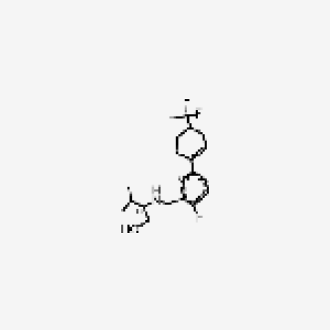 CC(C)[C@H](CO)NCc1nc(C2=CCC(C(F)(F)F)CC2)ccc1F